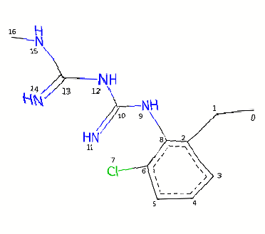 CCc1cccc(Cl)c1NC(=N)NC(=N)NC